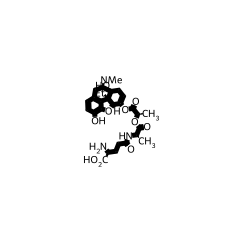 CC[C@]12c3c4ccc(O)c3O[C@H]1C(OC(=O)[C@H](C)OC(=O)[C@H](C)NC(=O)CC[C@H](N)C(=O)O)=CC[C@@]2(O)[C@H](NC)C4